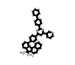 CC1(C)c2cccc(-c3ccc(-c4cc(-c5cccnc5)nc(-c5ccc(-c6ccccc6)cc5)n4)cc3)c2-c2c1ccc1ccccc21